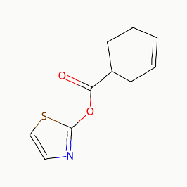 O=C(Oc1nccs1)C1CC=CCC1